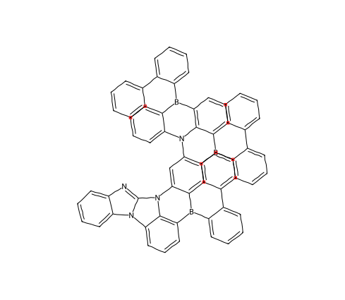 c1ccc(-c2ccccc2B2c3ccccc3N3c4cc5c(cc4B(c4ccccc4-c4ccccc4)c4cccc2c43)B(c2ccccc2-c2ccccc2)c2cccc3c2n-5c2nc4ccccc4n32)cc1